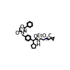 CCOC(=O)C1(/C=C/CCNC(=O)C(c2ccc(CN3N=C(c4ccccc4)OCC3=O)cc2)C2CCCC2)CC1